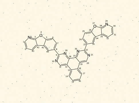 c1cnc2oc3ccc(-c4ncc5c6ccccc6c6cnc(-c7ccc8oc9ncccc9c8c7)nc6c5n4)cc3c2c1